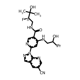 CC(C)C(O)CNc1cc(-n2ncc3cc(C#N)cnc32)ncc1C(=O)NC[C@@H](F)C(C)(C)O